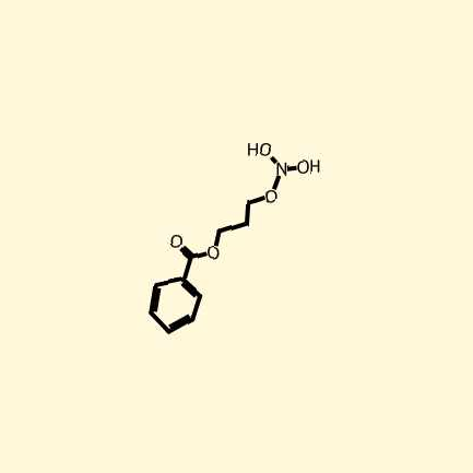 O=C(OCCCON(O)O)c1ccccc1